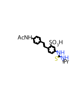 CC(=O)Nc1ccc(C=Cc2ccc(NC(=S)NC(C)C)cc2S(=O)(=O)O)cc1